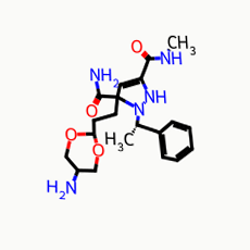 CNC(=O)C1=CC(CCC2OCC(N)CO2)(C(N)=O)N([C@@H](C)c2ccccc2)N1